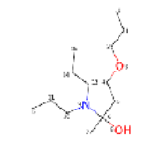 CCCOCCC(C)(O)N(CCC)CCC